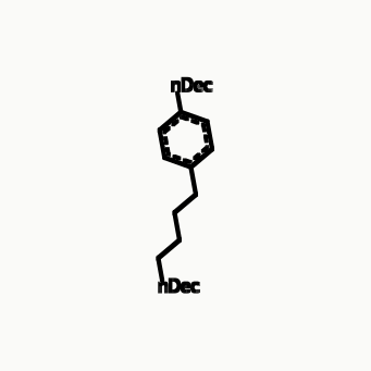 CCCCCCCCCCCCCCc1ccc(CCCCCCCCCC)cc1